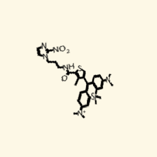 Cc1c(C2=C3C=CC(=[N+](C)C)C=C3[Si](C)(C)c3cc(N(C)C)ccc32)csc1C(=O)NCCCn1ccnc1[N+](=O)[O-]